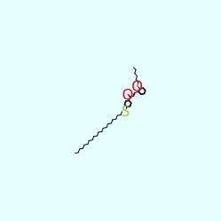 CCCCCCCCCCCCCCCCCCCCCSc1ccc(C(=O)C=Cc2ccccc2OCCCCCC)cc1